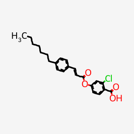 CCCCCCCc1ccc(/C=C/C(=O)Oc2ccc(C(=O)O)c(Cl)c2)cc1